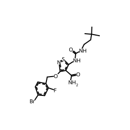 CC(C)(C)CCNC(=O)Nc1snc(OCc2ccc(Br)cc2F)c1C(N)=O